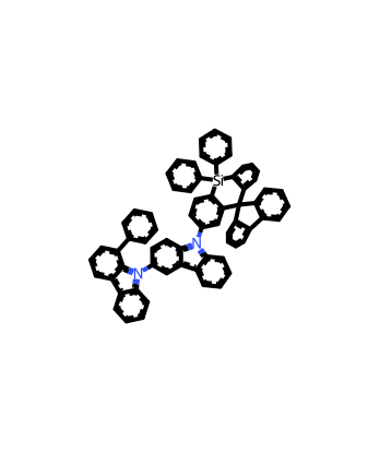 c1ccc(-c2cccc3c4ccccc4n(-c4ccc5c(c4)c4ccccc4n5-c4ccc5c(c4)C4(c6ccccc6-c6ccccc64)c4ccccc4[Si]5(c4ccccc4)c4ccccc4)c23)cc1